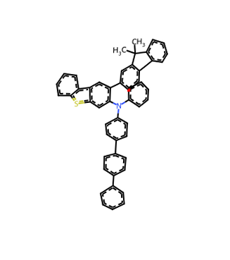 CC1(C)c2ccccc2-c2ccc(-c3cc4c(cc3N(c3ccccc3)c3ccc(-c5ccc(-c6ccccc6)cc5)cc3)sc3ccccc34)cc21